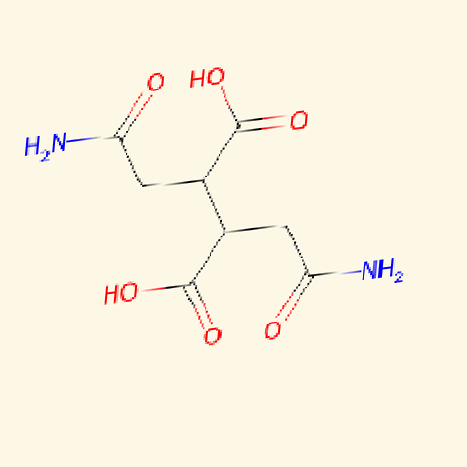 NC(=O)CC(C(=O)O)C(CC(N)=O)C(=O)O